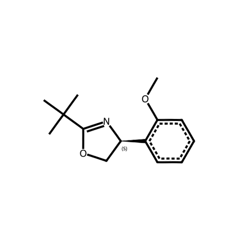 COc1ccccc1[C@H]1COC(C(C)(C)C)=N1